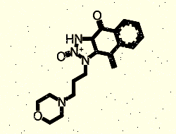 C=C1c2ccccc2C(=O)C2N[N+](=O)N(CCCN3CCOCC3)C12